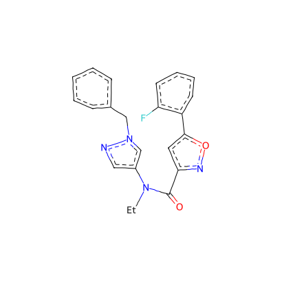 CCN(C(=O)c1cc(-c2ccccc2F)on1)c1cnn(Cc2ccccc2)c1